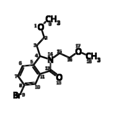 COCCC1c2ccc(Br)cc2C(=O)N1CCOC